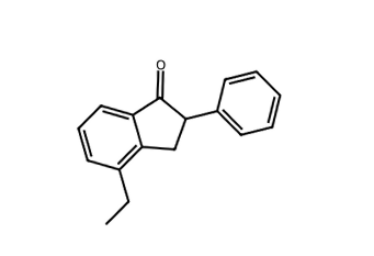 CCc1cccc2c1CC(c1ccccc1)C2=O